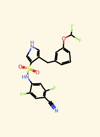 N#Cc1cc(F)c(NS(=O)(=O)c2c[nH]cc2Cc2cccc(OC(F)F)c2)cc1F